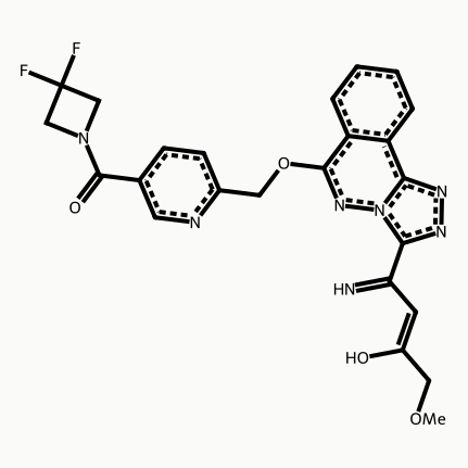 COC/C(O)=C/C(=N)c1nnc2c3ccccc3c(OCc3ccc(C(=O)N4CC(F)(F)C4)cn3)nn12